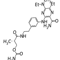 CCc1nc(C(N)=O)c(Nc2cccc(CCNC(=O)[C@@H](C)COC(N)=O)c2)nc1N(C)CC